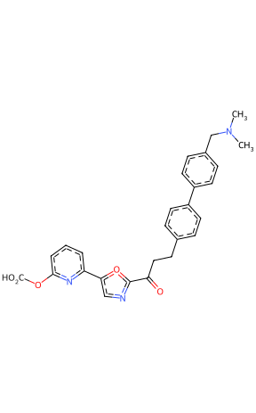 CN(C)Cc1ccc(-c2ccc(CCC(=O)c3ncc(-c4cccc(OC(=O)O)n4)o3)cc2)cc1